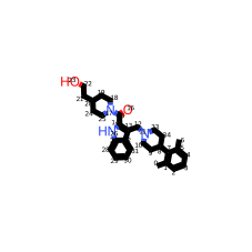 Cc1cccc(C)c1C1CCN(Cc2c(C(=O)N3CCC(CCO)CC3)[nH]c3ccccc23)CC1